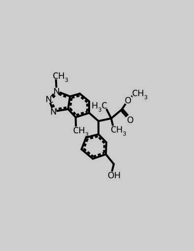 COC(=O)C(C)(C)C(c1cccc(CO)c1)c1ccc2c(nnn2C)c1C